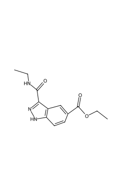 CCNC(=O)c1n[nH]c2ccc(C(=O)OCC)cc12